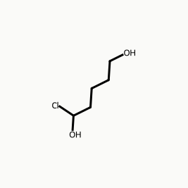 OCCCCC(O)Cl